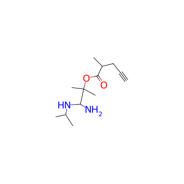 C#CCC(C)C(=O)OC(C)(C)C(N)NC(C)C